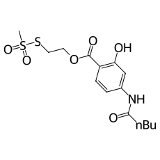 CCCCC(=O)Nc1ccc(C(=O)OCCSS(C)(=O)=O)c(O)c1